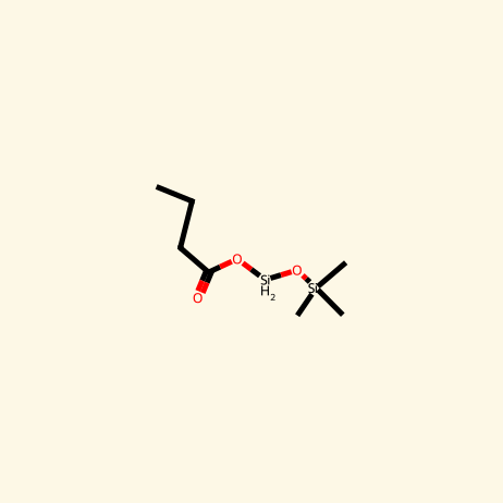 CCCC(=O)O[SiH2]O[Si](C)(C)C